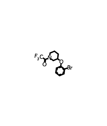 O=C(N1CCCC(Oc2ccccc2Br)C1)C(F)(F)F